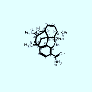 CCC[C@]12c3c4ccc(C(N)=O)c3O[C@H]1[C@@H](O)C=C[C@@]2(O)[C@H](C)C4